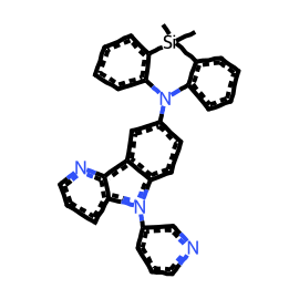 C[Si]1(C)c2ccccc2N(c2ccc3c(c2)c2ncccc2n3-c2cccnc2)c2ccccc21